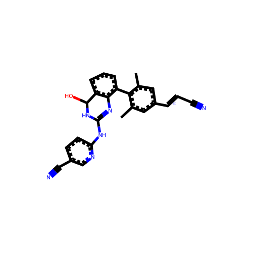 Cc1cc(/C=C/C#N)cc(C)c1-c1cccc2c1N=C(Nc1ccc(C#N)cn1)NC2O